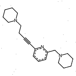 C(#Cc1cccc(CN2CCCCC2)n1)CCN1CCCCC1